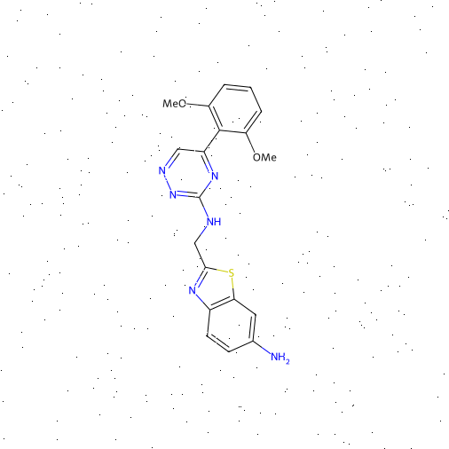 COc1cccc(OC)c1-c1cnnc(NCc2nc3ccc(N)cc3s2)n1